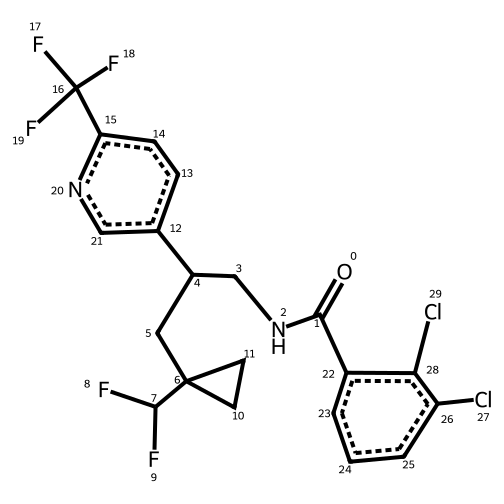 O=C(NCC(CC1(C(F)F)CC1)c1ccc(C(F)(F)F)nc1)c1cccc(Cl)c1Cl